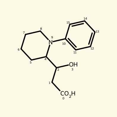 O=C(O)CC(O)C1CCCCN1c1ccccc1